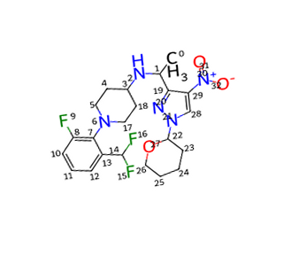 CC(NC1CCN(c2c(F)cccc2C(F)F)CC1)c1nn(C2CCCCO2)cc1[N+](=O)[O-]